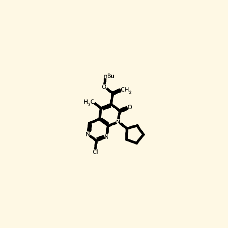 C=C(OCCCC)c1c(C)c2cnc(Cl)nc2n(C2CCCC2)c1=O